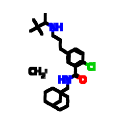 CC(NCCCc1ccc(Cl)c(C(=O)NCC23CCCC(CCC2)C3)c1)C(C)(C)C.[CH2]